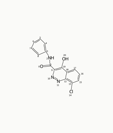 O=C(Nc1ccccc1)c1nnc2c(Cl)cccc2c1O